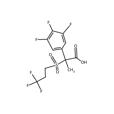 CC(C(=O)O)(c1cc(F)c(F)c(F)c1)S(=O)(=O)CCC(F)(F)F